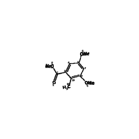 COC(=O)c1cc(OC)cc(OC)c1C